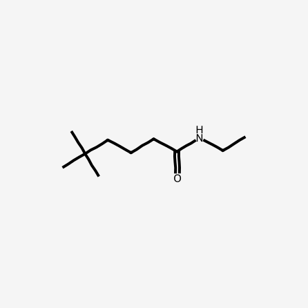 CCNC(=O)CCCC(C)(C)C